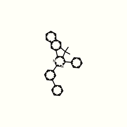 CC1(C)c2cc3ccccc3cc2-c2nc(-c3cccc(-c4ccccc4)c3)nc(-c3ccccc3)c21